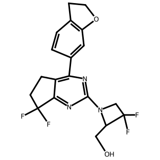 OCC1N(c2nc(-c3ccc4c(c3)OCC4)c3c(n2)C(F)(F)CC3)CC1(F)F